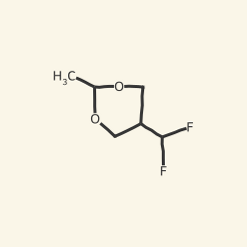 CC1OCC(C(F)F)CO1